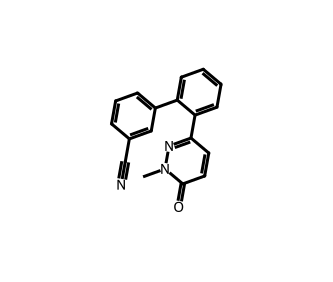 Cn1nc(-c2ccccc2-c2cccc(C#N)c2)ccc1=O